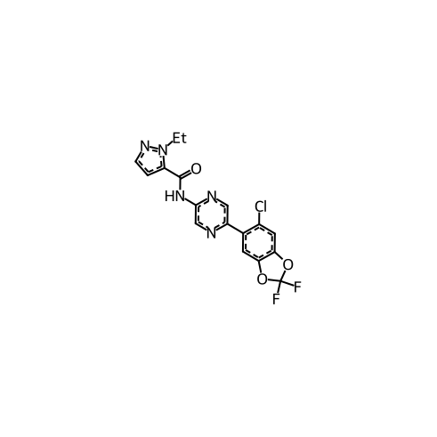 CCn1nccc1C(=O)Nc1cnc(-c2cc3c(cc2Cl)OC(F)(F)O3)cn1